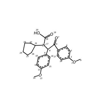 COc1ccc(C(=O)C(c2ccc(OC)cc2)N(C(=O)O)C2CCCCC2)cc1